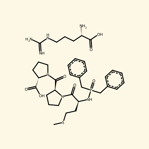 CSCC[C@H](NP(=O)(Cc1ccccc1)Cc1ccccc1)C(=O)N1CCC[C@H]1C(=O)N1CCC[C@H]1C(=O)O.N=C(N)NCCC[C@H](N)C(=O)O